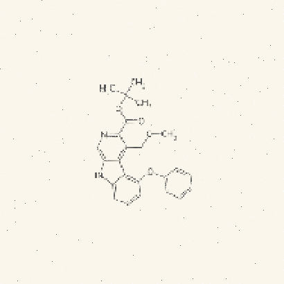 COCc1c(C(=O)OC(C)(C)C)ncc2[nH]c3cccc(Oc4ccccc4)c3c12